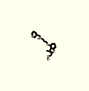 CCOCc1oc2cccc(OCCCNCc3cccnc3)c2c1C